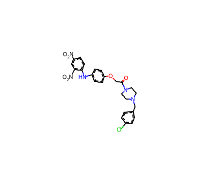 O=C(COc1ccc(Nc2ccc([N+](=O)[O-])cc2[N+](=O)[O-])cc1)N1CCN(Cc2ccc(Cl)cc2)CC1